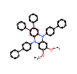 COc1cc(N(c2ccc(-c3ccccc3)cc2)c2ccc(-c3ccccc3)cc2)c(N(c2ccc(-c3ccccc3)cc2)c2ccc(-c3ccccc3)cc2)cc1OC